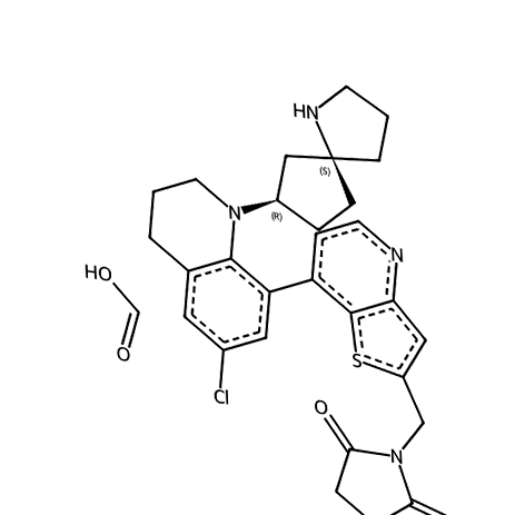 O=C1CCC(=O)N1Cc1cc2nccc(-c3cc(Cl)cc4c3N([C@@H]3CC[C@@]5(CCCN5)C3)CCC4)c2s1.O=CO